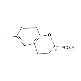 O=C(O)[C@@H]1CCc2cc(F)ccc2O1